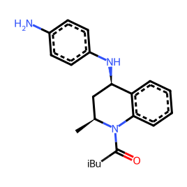 CCC(C)C(=O)N1c2ccccc2[C@H](Nc2ccc(N)cc2)C[C@@H]1C